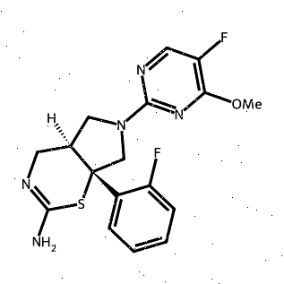 COc1nc(N2C[C@@H]3CN=C(N)S[C@@]3(c3ccccc3F)C2)ncc1F